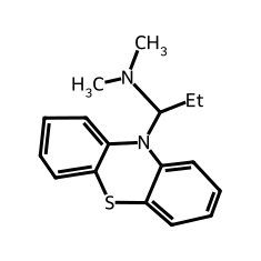 CCC(N(C)C)N1c2ccccc2Sc2ccccc21